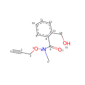 C#CCON(C)C(=O)c1ccccc1CO